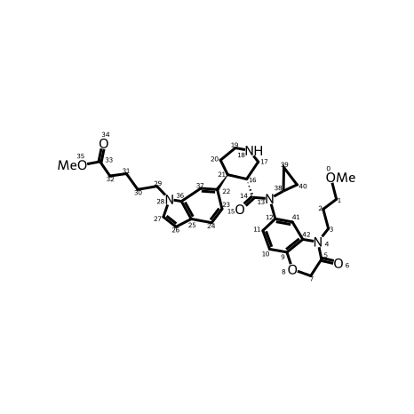 COCCCN1C(=O)COc2ccc(N(C(=O)[C@H]3CNCC[C@@H]3c3ccc4ccn(CCCCC(=O)OC)c4c3)C3CC3)cc21